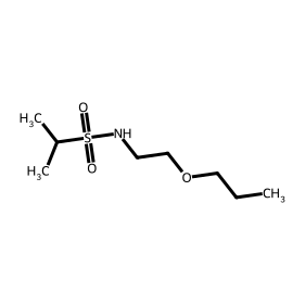 CCCOCCNS(=O)(=O)C(C)C